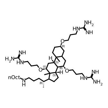 CCCCCCCCNCCC[C@@H](C)C1CC[C@H]2C3[C@H](OCCCNC(=N)N)CC4C[C@H](OCCCNC(=N)N)CCC4(C)[C@H]3C[C@H](OCCCNC(=N)N)C12C